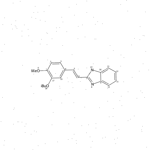 COc1ccc(C=CC2=Nc3ccccc3[N]2)cc1OCC(C)C